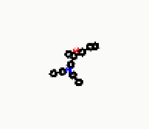 c1ccc(-c2ccc(N(c3ccc(-c4ccccc4)cc3)c3ccc(-c4cc5c6ccc(-c7ccc8ccccc8c7)cc6oc5c5ccccc45)cc3)cc2)cc1